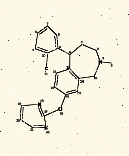 CN1CCC(c2ccccc2F)c2ccc(Oc3ncccn3)cc2C1